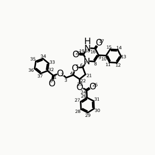 O=C(OCC1OC(n2cc(-c3ccccc3)c(=O)[nH]c2=O)CC1OC(=O)c1ccccc1)c1ccccc1